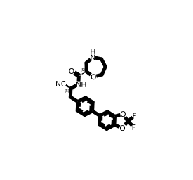 N#C[C@H](Cc1ccc(-c2ccc3c(c2)OC(F)(F)O3)cc1)NC(=O)[C@@H]1CNCCCO1